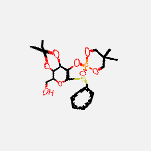 CC1(C)COP(=O)(OC2C(Sc3ccccc3)OC(CO)C3OC(C)(C)OC32)OC1